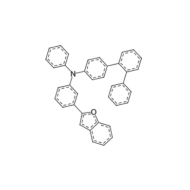 c1ccc(-c2ccccc2-c2ccc(N(c3ccccc3)c3cccc(-c4cc5ccccc5o4)c3)cc2)cc1